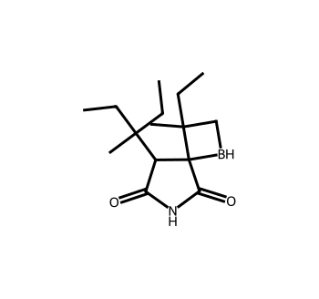 CCC(C)(CC)C1C(=O)NC(=O)C12BCC2(C)CC